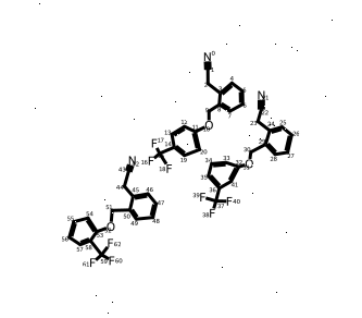 N#CCc1ccccc1COc1ccc(C(F)(F)F)cc1.N#CCc1ccccc1COc1cccc(C(F)(F)F)c1.N#CCc1ccccc1COc1ccccc1C(F)(F)F